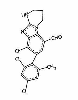 Cc1cc(Cl)cc(Cl)c1-c1cc(C=O)c2c(nc3n2CCCN3)c1Cl